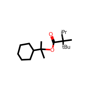 CC(C)C(C)(C(=O)OC(C)(C)C1CCCCC1)C(C)(C)C